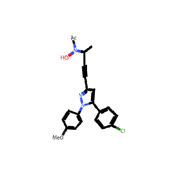 COc1ccc(-n2nc(C#CC(C)N(O)C(C)=O)cc2-c2ccc(Cl)cc2)cc1